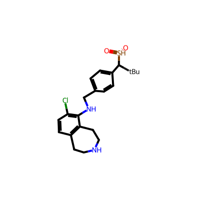 CC(C)(C)C(c1ccc(CNc2c(Cl)ccc3c2CCNCC3)cc1)[SH](=O)=O